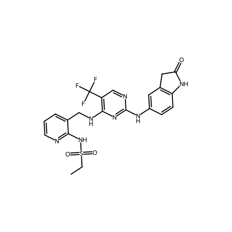 CCS(=O)(=O)Nc1ncccc1CNc1nc(Nc2ccc3c(c2)CC(=O)N3)ncc1C(F)(F)F